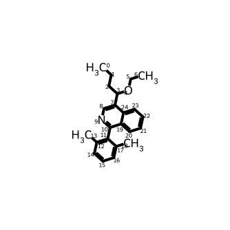 CCCC(OCC)c1cnc(-c2c(C)cccc2C)c2ccccc12